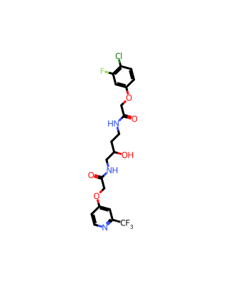 O=C(COc1ccc(Cl)c(F)c1)NCCC(O)CNC(=O)COc1ccnc(C(F)(F)F)c1